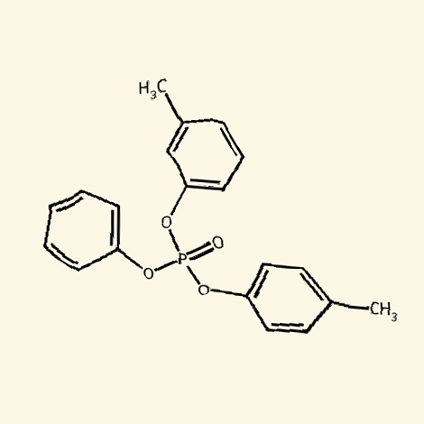 Cc1ccc(OP(=O)(Oc2ccccc2)Oc2cccc(C)c2)cc1